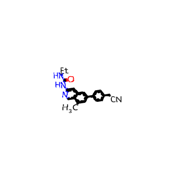 CCNC(=O)Nc1cc2cc(-c3ccc(CC#N)cc3)cc(C)c2cn1